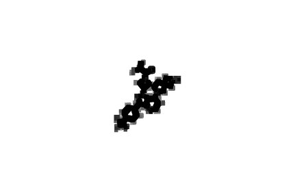 C=C(F)C(=O)N1CC(n2nc(-c3ccc(C(F)(F)F)cc3)c3nccc(N4CCC5(CNC5)C4)c32)C1